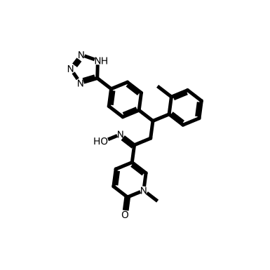 Cc1ccccc1C(CC(=NO)c1ccc(=O)n(C)c1)c1ccc(-c2nnn[nH]2)cc1